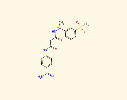 C[C@H](NC(=O)CC(=O)Nc1ccc(C(=N)N)cc1)c1cccc(S(=O)(=O)C(F)(F)F)c1